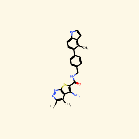 Cc1nnc2sc(C(=O)NCc3ccc(-c4ccc5[nH]ccc5c4C)cc3)c(N)c2c1C